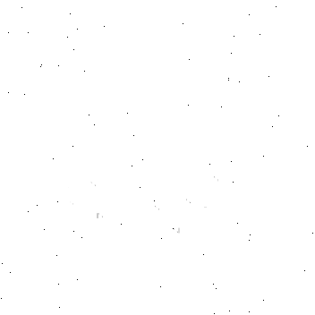 O=C(Nc1nc2c(C(=O)Nc3ncc[nH]3)cccc2[nH]1)c1cccc(C#Cc2ccc(F)cc2)n1